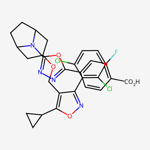 O=C(O)c1ccc(-c2nnc(N3C4CCC3CC(OCc3c(-c5c(Cl)cccc5Cl)noc3C3CC3)C4)o2)cc1F